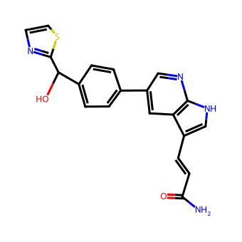 NC(=O)/C=C/c1c[nH]c2ncc(-c3ccc(C(O)c4nccs4)cc3)cc12